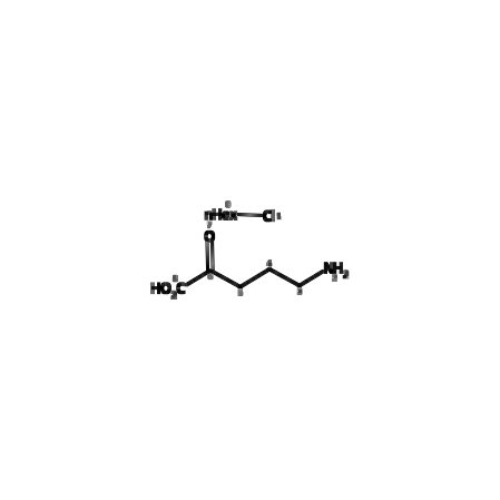 CCCCCCCl.NCCCC(=O)C(=O)O